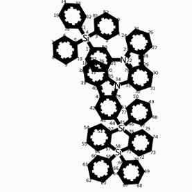 c1ccc([Si](c2ccccc2)(c2ccccc2)c2cccc(-n3c4ccccc4c4cccc(-n5c6ccccc6c6ccc([Si]7(c8ccccc8)c8ccccc8[Si](c8ccccc8)(c8ccccc8)c8ccccc87)cc65)c43)c2)cc1